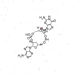 Nc1nc2c(ncn2[C@@H]2O[C@@H]3COP(=O)(O)O[C@@H]4C[C@@H](COPO[C@@H]2[C@@H]3O)O[C@H]4n2cnc3c(N)ncnc32)c(=O)[nH]1